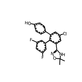 CC1(C)NC(c2cc(Cl)cc(-c3ccc(O)cc3)c2-c2cc(F)cc(F)c2)=NO1